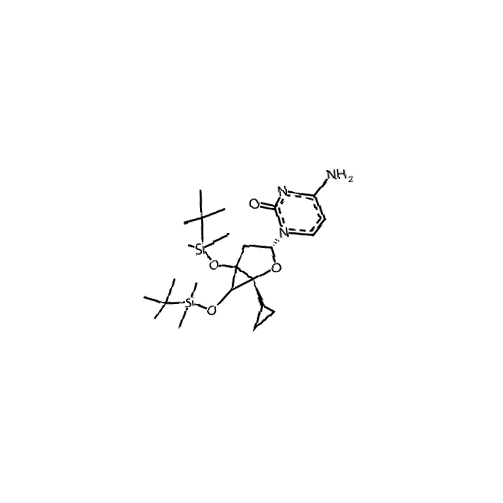 CC(C)(C)[Si](C)(C)OC1C2(O[Si](C)(C)C(C)(C)C)C[C@H](n3ccc(N)nc3=O)O[C@]12C1CC1